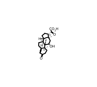 C[C@]12C[C@H](O)[C@@]3(F)[C@@H](CCC4=CC(=O)CC[C@@]43C)[C@@H]1CC[C@@H]2C(=O)C(=O)O